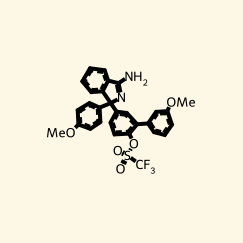 COc1ccc(C2(c3ccc(OS(=O)(=O)C(F)(F)F)c(-c4cccc(OC)c4)c3)N=C(N)c3ccccc32)cc1